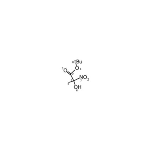 CC(C)(C)OC(=O)C(C)(O)[N+](=O)[O-]